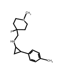 Cc1ccc(C2CC2NCC2(F)CCN(C)CC2)cc1